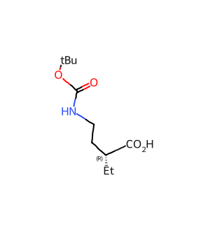 CC[C@H](CCNC(=O)OC(C)(C)C)C(=O)O